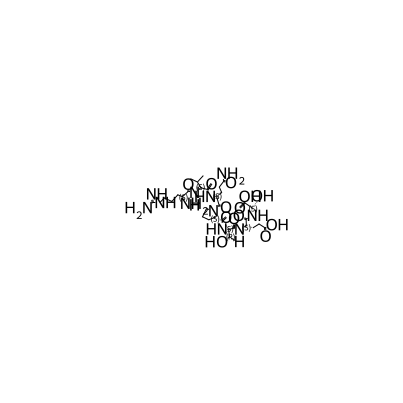 CC(C)[C@H](NC(=O)[C@@H](N)CCCNC(=N)N)C(=O)N[C@@H](CCC(N)=O)C(=O)N1CCC[C@H]1C(=O)N[C@H](C(=O)N[C@@H](CCC(=O)O)C(=O)N[C@@H](CO)C(=O)O)[C@@H](C)O